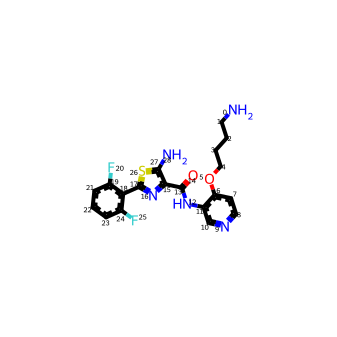 NCCCCOc1ccncc1NC(=O)c1nc(-c2c(F)cccc2F)sc1N